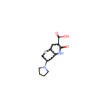 O=C(O)c1cc2ccc(N3CCCC3)cc2[nH]c1=O